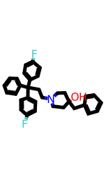 OC1(Cc2ccccc2)CCN(CCC(c2ccccc2)(c2ccc(F)cc2)c2ccc(F)cc2)CC1